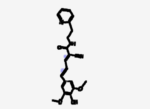 COc1cc(/C=C/C=C(\C#N)C(=O)NCCc2ccccn2)cc(OC)c1O